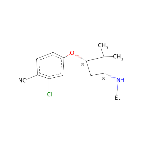 CCN[C@@H]1C[C@H](Oc2ccc(C#N)c(Cl)c2)C1(C)C